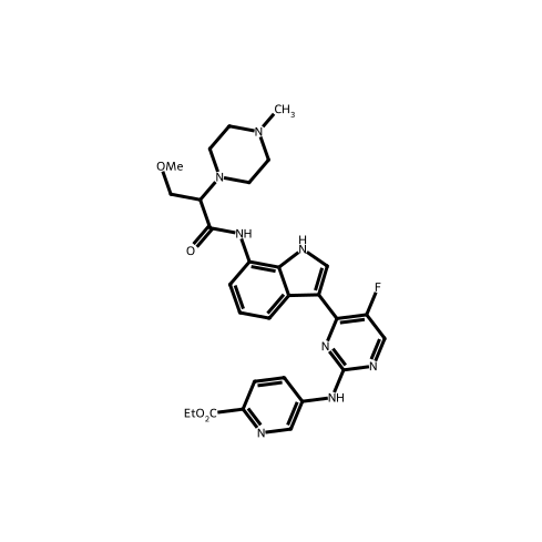 CCOC(=O)c1ccc(Nc2ncc(F)c(-c3c[nH]c4c(NC(=O)C(COC)N5CCN(C)CC5)cccc34)n2)cn1